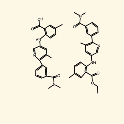 CCOC(=O)c1cc(C)ccc1Nc1cnc(-c2cccc(C(=O)N(C)C)c2)c(C)c1.Cc1ccc(Nc2cnc(-c3cccc(C(=O)N(C)C)c3)c(C)c2)c(C(=O)O)c1